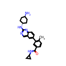 Cc1ccc(C(=O)NC2CC2)cc1-c1ccc2nc(N[C@H]3CC[C@H](N)CC3)ncc2c1